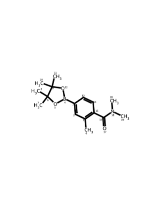 Cc1cc(B2OC(C)(C)C(C)(C)O2)ccc1C(=O)N(C)C